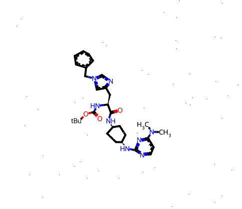 CN(C)c1ccnc(N[C@H]2CC[C@@H](NC(=O)[C@H](Cc3cn(Cc4ccccc4)cn3)NC(=O)OC(C)(C)C)CC2)n1